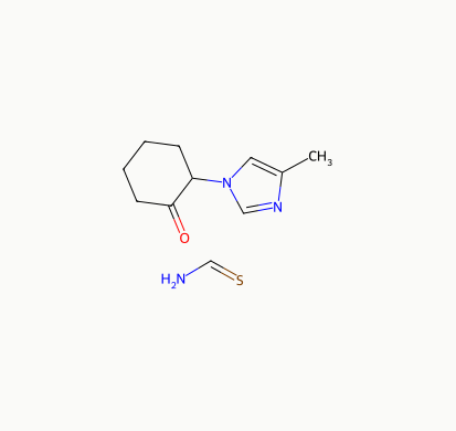 Cc1cn(C2CCCCC2=O)cn1.NC=S